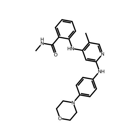 CNC(=O)c1ccccc1Nc1cc(Nc2ccc(N3CCOCC3)cc2)ncc1C